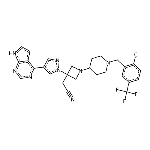 N#CCC1(n2cc(-c3ncnc4[nH]ccc34)cn2)CN(C2CCN(Cc3cc(C(F)(F)F)ccc3Cl)CC2)C1